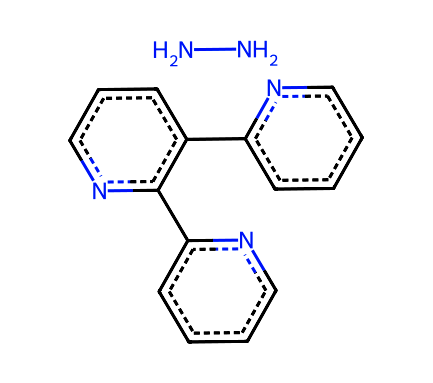 NN.c1ccc(-c2cccnc2-c2ccccn2)nc1